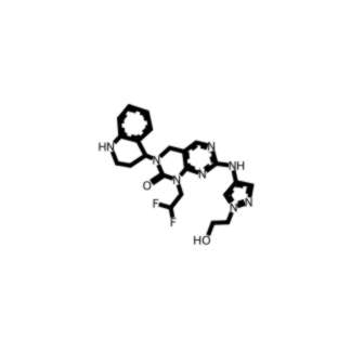 O=C1N(CC(F)F)c2nc(Nc3cnn(CCO)c3)ncc2CN1C1CCNc2ccccc21